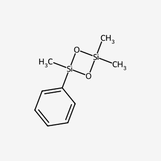 C[Si]1(C)O[Si](C)(c2ccccc2)O1